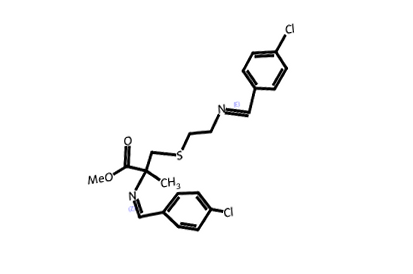 COC(=O)C(C)(CSCC/N=C/c1ccc(Cl)cc1)/N=C\c1ccc(Cl)cc1